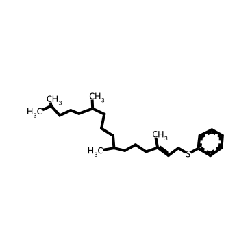 C/C(=C\CSc1ccccc1)CCCC(C)CCCC(C)CCCC(C)C